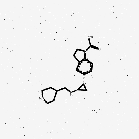 CCCCC(=O)N1CCc2cc([C@@H]3C[C@H]3NCC3CCNCC3)ccc21